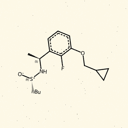 CCCC[S@+]([O-])N[C@@H](C)c1cccc(OCC2CC2)c1F